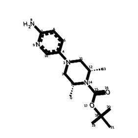 C[C@@H]1CN(c2ccc(N)nc2)C[C@H](C)N1C(=O)OC(C)(C)C